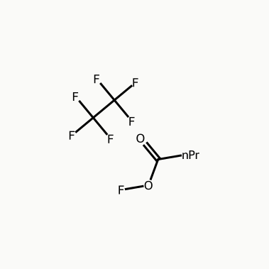 CCCC(=O)OF.FC(F)(F)C(F)(F)F